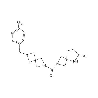 O=C1CCC2(CN(C(=O)N3CC4(CC(Cc5ccc(C(F)(F)F)nn5)C4)C3)C2)N1